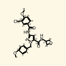 COc1ccc(Cn2nc(NC(=O)c3ccc(OC)c(Cl)c3)cc2C(=O)NC2COC2)cc1